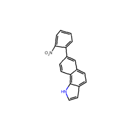 O=[N+]([O-])c1ccccc1-c1ccc2c(ccc3cc[nH]c32)c1